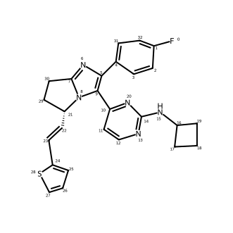 Fc1ccc(-c2nc3n(c2-c2ccnc(NC4CCC4)n2)[C@H](/C=C/c2cccs2)CC3)cc1